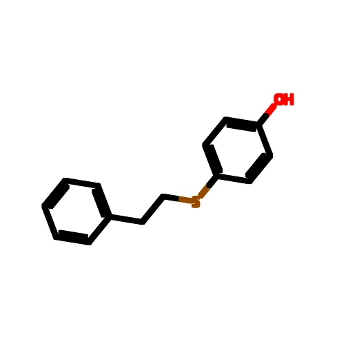 Oc1ccc(SCCc2ccccc2)cc1